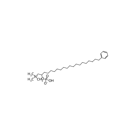 C[N+](C)(C)CC(CCCCCCCCCCCCCCCCCCc1ccccc1)OP(=O)([O-])O